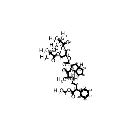 CCOC(=O)C(CCN[C@@H](C)C(=O)N1[C@H](C(=O)OC(COC(=O)C(C)(C)C)COC(=O)C(C)(C)C)C[C@@H]2CCC[C@@H]21)c1ccccc1